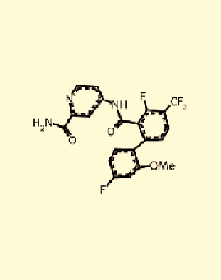 COc1cc(F)ccc1-c1ccc(C(F)(F)F)c(F)c1C(=O)Nc1ccnc(C(N)=O)c1